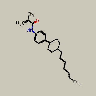 C=C(C)C(=O)Nc1ccc(C2CCC(CCCCCCC)CC2)cc1